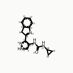 O=C(Nc1c[nH]nc1C1=Nc2ccccc2C1)NC1CC1